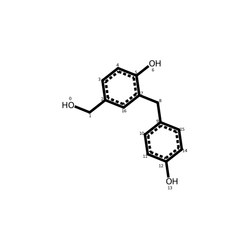 OCc1ccc(O)c(Cc2ccc(O)cc2)c1